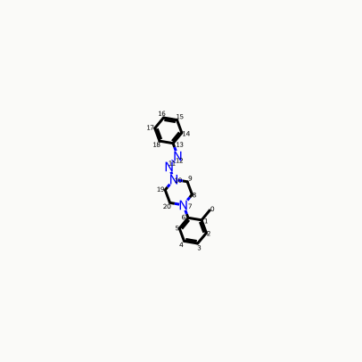 Cc1ccccc1N1CCN(N=Nc2ccccc2)CC1